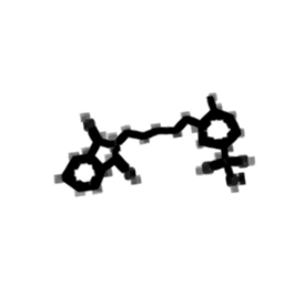 Cc1ccc(S(=O)(=O)O)cc1CCCCCN1C(=O)c2ccccc2C1=O